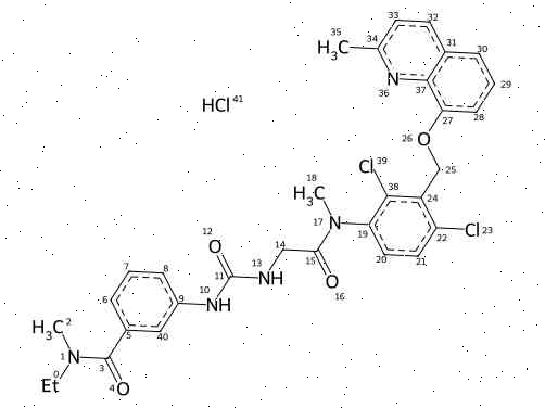 CCN(C)C(=O)c1cccc(NC(=O)NCC(=O)N(C)c2ccc(Cl)c(COc3cccc4ccc(C)nc34)c2Cl)c1.Cl